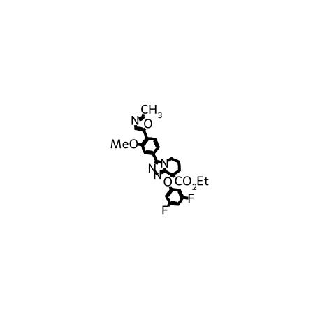 CCOC(=O)C1(Oc2cc(F)cc(F)c2)CCCn2c(-c3ccc(-c4cnc(C)o4)c(OC)c3)nnc21